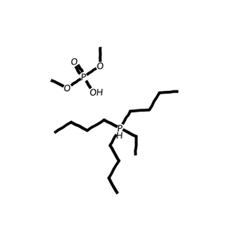 CCCC[PH](CC)(CCCC)CCCC.COP(=O)(O)OC